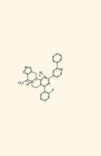 C[C@H]1c2oncc2C[C@@]2(C)c3nc(-c4ccnc(-c5ccccc5)c4)nc(-c4ccccc4F)c3CC[C@H]12